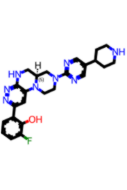 Oc1c(F)cccc1-c1cc2c(nn1)NC[C@H]1CN(c3ncc(C4CCNCC4)cn3)CCN21